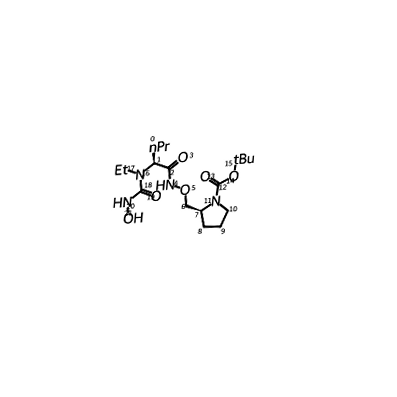 CCC[C@@H](C(=O)NOC[C@@H]1CCCN1C(=O)OC(C)(C)C)N(CC)C(=O)NO